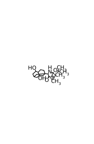 COC(=O)[C@@H](NC(=O)OC(C)(C)C)C12CCC3C(O)CC(CC3(O)C1)C2